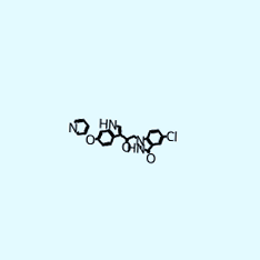 O=C(Cn1[nH]c(=O)c2cc(Cl)ccc21)c1c[nH]c2cc(Oc3cccnc3)ccc12